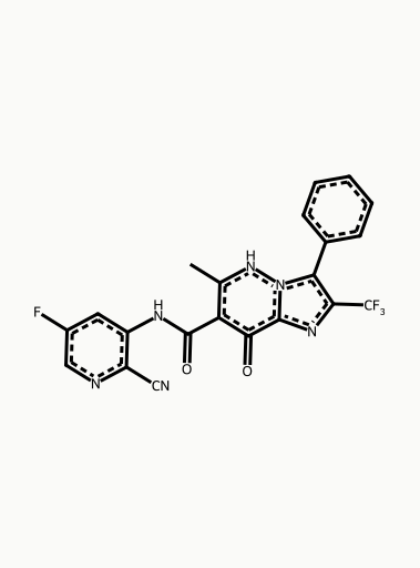 Cc1[nH]n2c(-c3ccccc3)c(C(F)(F)F)nc2c(=O)c1C(=O)Nc1cc(F)cnc1C#N